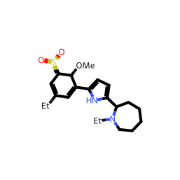 CCC1=CC(=S(=O)=O)C(OC)C(c2ccc(C3CCCCCN3CC)[nH]2)=C1